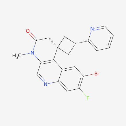 CN1C(=O)C[C@]2(C[C@@H](c3ccccn3)C2)c2c1cnc1cc(F)c(Br)cc12